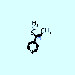 C/C=C(\SC)c1ccncc1